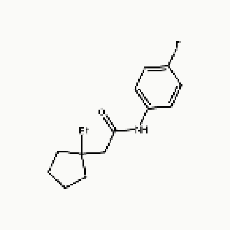 CCC1(CC(=O)Nc2ccc(F)cc2)CCCC1